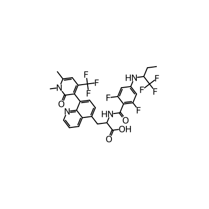 CCC(Nc1cc(F)c(C(=O)NC(Cc2ccc(-c3c(C(F)(F)F)cc(C)n(C)c3=O)c3ncccc23)C(=O)O)c(F)c1)C(F)(F)F